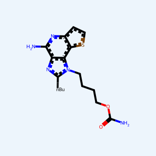 CCCCc1nc2c(N)nc3ccsc3c2n1CCCCOC(N)=O